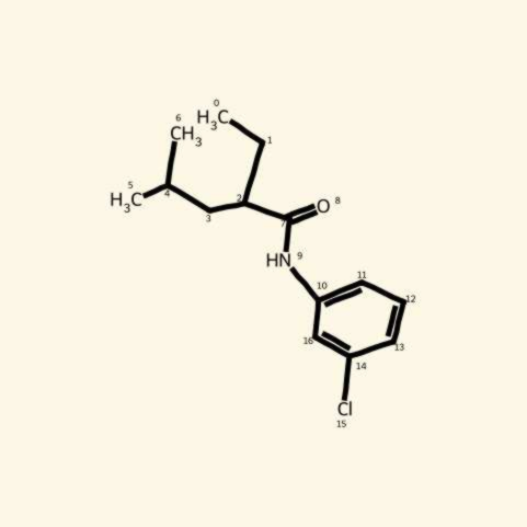 CCC(CC(C)C)C(=O)Nc1cccc(Cl)c1